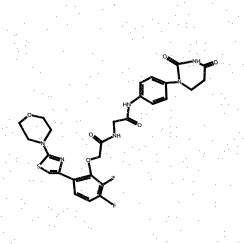 O=C(COc1c(-c2csc(N3CCOCC3)n2)ccc(F)c1F)NCC(=O)Nc1ccc(N2CCC(=O)NC2=O)cc1